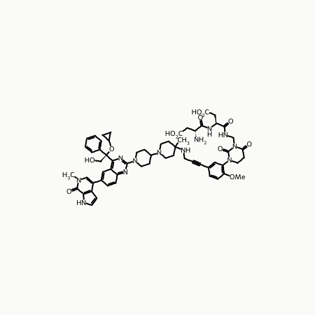 COc1ccc(C#CCNC2(C)CCN(C3CCN(c4nc([C@@](CO)(OC5CC5)c5ccccc5)c5cc(-c6cn(C)c(=O)c7[nH]ccc67)ccc5n4)CC3)CC2)cc1N1CCC(=O)N(CNC(=O)[C@H](CC(=O)O)NC(=O)[C@H](N)CC(=O)O)C1=O